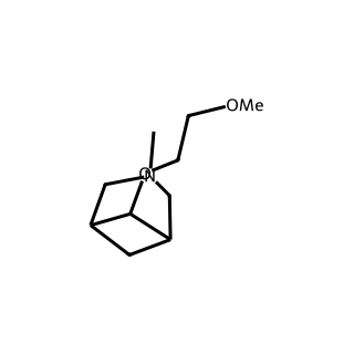 COCCOC1C2CC1CN(C)C2